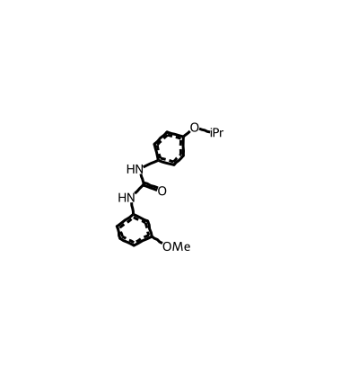 COc1cccc(NC(=O)Nc2ccc(OC(C)C)cc2)c1